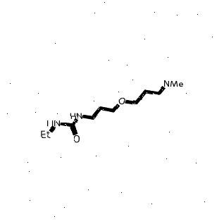 CCNC(=O)NCCCOCCCNC